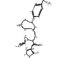 CCc1ccc(C2CNCC(CC(OC=O)C(=O)C3CCCC3)C2)cc1